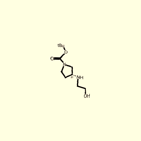 CC(C)(C)OC(=O)N1CC[C@@H](NCCO)C1